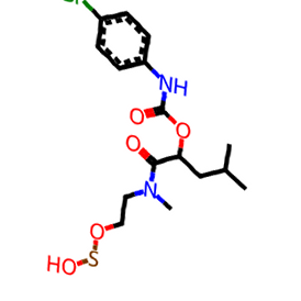 CC(C)CC(OC(=O)Nc1ccc(Br)cc1)C(=O)N(C)CCOSO